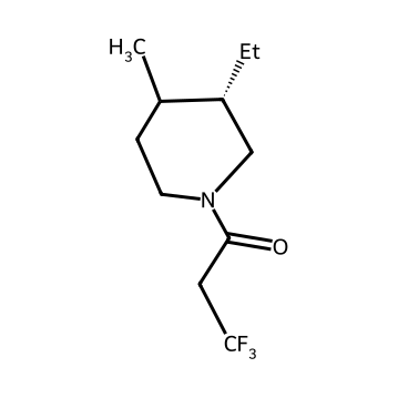 CC[C@@H]1CN(C(=O)CC(F)(F)F)CCC1C